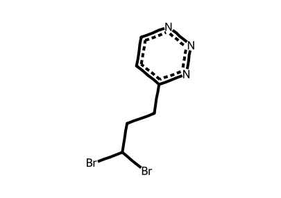 BrC(Br)CCc1ccnnn1